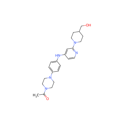 CC(=O)N1CCN(c2ccc(Nc3ccnc(N4CCC(CO)CC4)c3)cc2)CC1